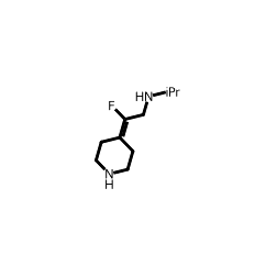 CC(C)NCC(F)=C1CCNCC1